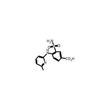 Cc1cccc(Nc2ccc(C(=O)O)cc2S(N)(=O)=O)n1